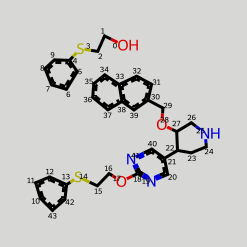 OCCSc1ccccc1.c1ccc(SCCOc2ncc(C3CCNCC3OCc3ccc4ccccc4c3)cn2)cc1